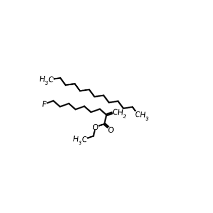 C=C(CCCCCCCF)C(=O)OCC.CCCCCCCCCCCCC